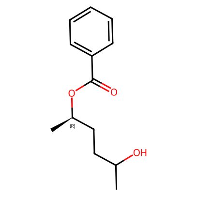 CC(O)CC[C@@H](C)OC(=O)c1ccccc1